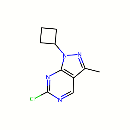 Cc1nn(C2CCC2)c2nc(Cl)ncc12